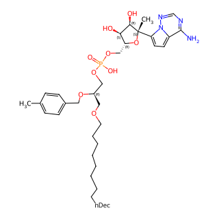 CCCCCCCCCCCCCCCCCCOC[C@H](COP(=O)(O)OC[C@H]1O[C@@](C)(c2ccc3c(N)ncnn23)[C@H](O)[C@@H]1O)OCc1ccc(C)cc1